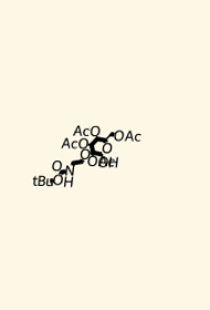 CC(=O)OC[C@H]1O[C@H](O)[C@@](OCCNC(=O)OC(C)(C)C)(OC(C)=O)[C@@H](OC(C)=O)[C@@H]1OC(C)=O